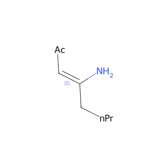 CCCC/C(N)=C/C(C)=O